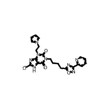 O=c1c2[nH]c(Cl)nc2n(CCn2cccc2)c(=O)n1CCCCc1nc(-c2ccccn2)no1